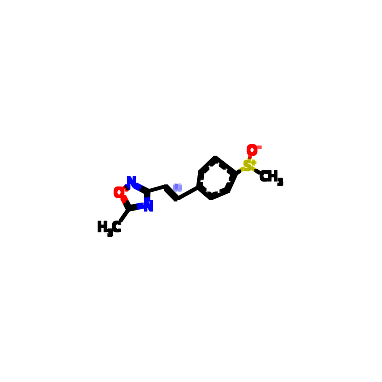 Cc1nc(/C=C/c2ccc([S+](C)[O-])cc2)no1